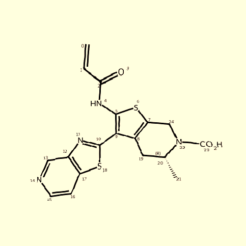 C=CC(=O)Nc1sc2c(c1-c1nc3cnccc3s1)C[C@@H](C)N(C(=O)O)C2